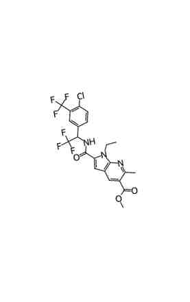 CCn1c(C(=O)NC(c2ccc(Cl)c(C(F)(F)F)c2)C(F)(F)F)cc2cc(C(=O)OC)c(C)nc21